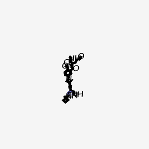 CNC(=O)C(CCC=O)N1C(=O)c2ccc(N3CC(C#C/C(C=N)=C/NC4(C)CCC4)C3)cc2C1=O